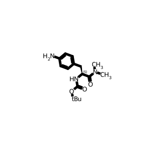 CN(C)C(=O)[C@H](Cc1ccc(N)cc1)NC(=O)OC(C)(C)C